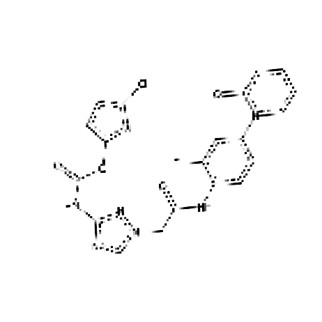 O=C(Cn1cnc(NC(=O)Oc2ccc(Cl)s2)n1)Nc1ccc(-n2ccccc2=O)cc1F